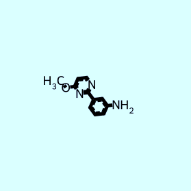 COc1ccnc(-c2cccc(N)c2)n1